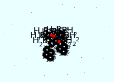 Bc1c(B)c(B)c(-c2cc(-c3ccc4ccc5cccc6ccc3c4c56)cc(-c3ccc4ccc5cccc6ccc3c4c56)c2-c2c(B)c(B)c3c(B)c(B)c(B)c(B)c3c2B)c(B)c1B